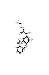 CC(C(=O)OCC=N)c1ccc2c(c1)S(=O)(=O)c1ccccc1O2.Cl